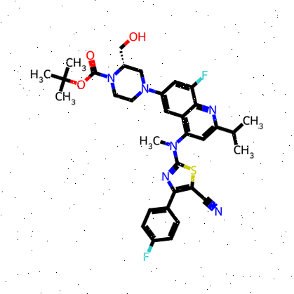 CC(C)c1cc(N(C)c2nc(-c3ccc(F)cc3)c(C#N)s2)c2cc(N3CCN(C(=O)OC(C)(C)C)[C@H](CO)C3)cc(F)c2n1